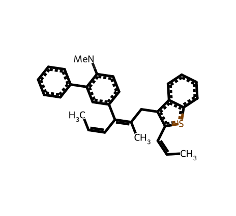 C/C=C\C(=C(/C)Cc1c(/C=C\C)sc2ccccc12)c1ccc(NC)c(-c2ccccc2)c1